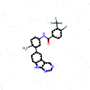 Cc1ccc(NC(=O)c2ccc(F)c(C(F)(F)F)c2)cc1-c1ccc2[nH]c3ncncc3c2c1